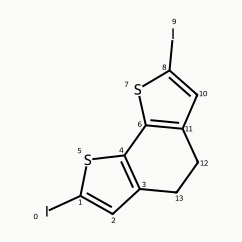 Ic1cc2c(s1)-c1sc(I)cc1CC2